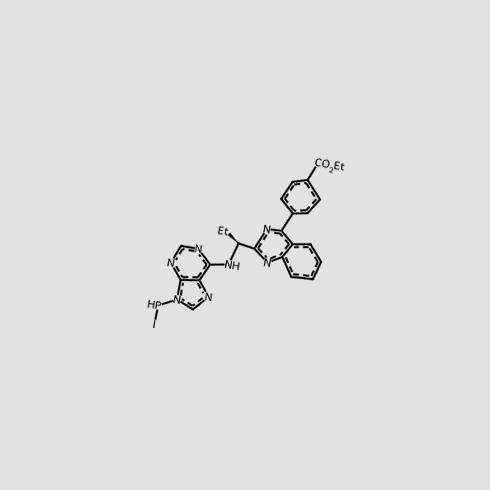 CCOC(=O)c1ccc(-c2nc([C@H](CC)Nc3ncnc4c3ncn4PI)nc3ccccc23)cc1